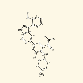 COc1ccccc1-c1n[nH]c2ncc(-c3cc(F)c(NC4CCC(N)CC4)c(C(=O)N(C)C)c3)cc12